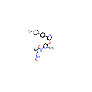 Cc1nc(NC(=O)C2(CCNC=O)CC2)ccc1Oc1ccnc(-c2ccc(C3CCN(C)CC3)cc2)c1